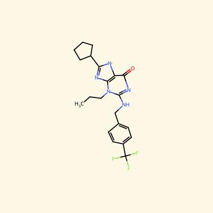 CCCn1c(NCc2ccc(C(F)(F)F)cc2)nc(=O)c2c1N=C(C1CCCC1)[N]2